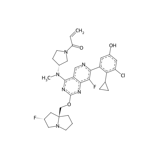 C=CC(=O)N1CC[C@@H](N(C)c2nc(OC[C@@]34CCCN3C[C@H](F)C4)nc3c(F)c(-c4cc(O)cc(Cl)c4C4CC4)ncc23)C1